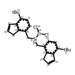 CC(C)(C)c1ccc(C[SiH](Cc2ccc(C(C)(C)C)c3c2CC=C3)[Zr]([Cl])[Cl])c2c1C=CC2